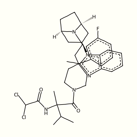 Cc1nc2ccccc2n1[C@H]1C[C@H]2CC[C@@H](C1)N2CCC1(c2cccc(F)c2)CCN(C(=O)C(C)(NC(=O)C(Cl)Cl)C(C)C)CC1